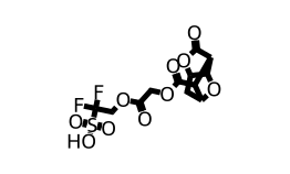 O=C(COC(=O)C1C2CC3OC(=O)C1C3O2)OCC(F)(F)S(=O)(=O)O